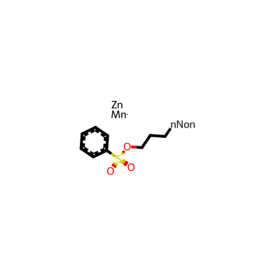 CCCCCCCCCCCCOS(=O)(=O)c1ccccc1.[Mn].[Zn]